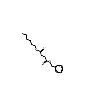 CCCCCCOC(=O)CCC(=O)OCc1ccccc1